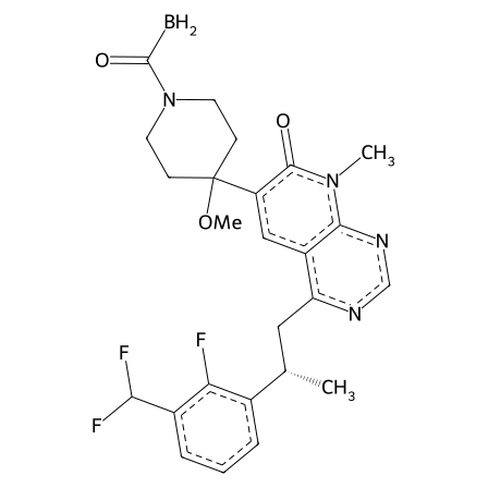 BC(=O)N1CCC(OC)(c2cc3c(C[C@H](C)c4cccc(C(F)F)c4F)ncnc3n(C)c2=O)CC1